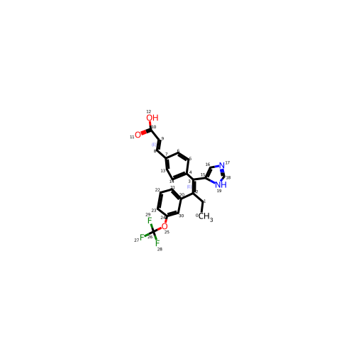 CC/C(=C(/c1ccc(/C=C/C(=O)O)cc1)c1cnc[nH]1)c1cccc(OC(F)(F)F)c1